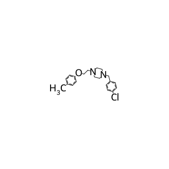 Cc1ccc(OCCN2CCN(Cc3ccc(Cl)cc3)CC2)cc1